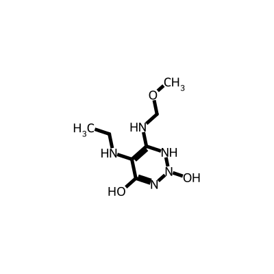 CCNC1=C(NCOC)NN(O)N=C1O